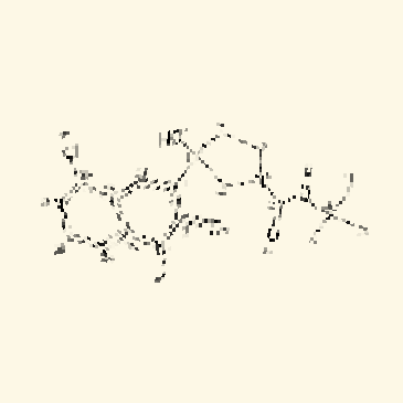 Cn1c(=O)c(C2(O)CCN(C(=O)OC(C)(C)C)C2)cc2c(Cl)nccc21